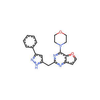 c1ccc(-c2cc(Cc3nc(N4CCOCC4)c4occc4n3)[nH]n2)cc1